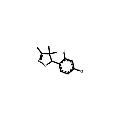 CC1=NOC(c2ccc(Cl)cc2Cl)C1(C)C